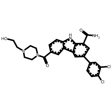 NC(=O)c1cc(-c2ccc(Cl)c(Cl)c2)cc2c1[nH]c1ccc(C(=O)N3CCN(CCO)CC3)cc12